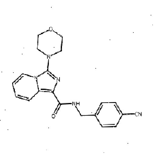 N#Cc1ccc(CNC(=O)c2nc(N3CCOCC3)n3ccccc23)cc1